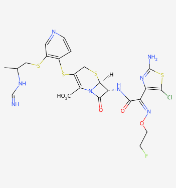 CC(CSc1cnccc1SC1=C(C(=O)O)N2C(=O)[C@@H](NC(=O)/C(=N\OCCF)c3nc(N)sc3Cl)[C@@H]2SC1)NC=N